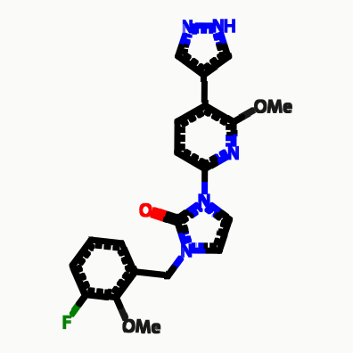 COc1nc(-n2ccn(Cc3cccc(F)c3OC)c2=O)ccc1-c1cn[nH]c1